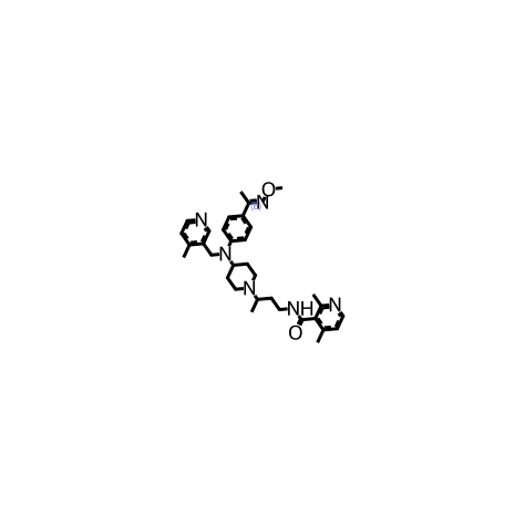 CO/N=C(\C)c1ccc(N(Cc2cnccc2C)C2CCN(C(C)CCNC(=O)c3c(C)ccnc3C)CC2)cc1